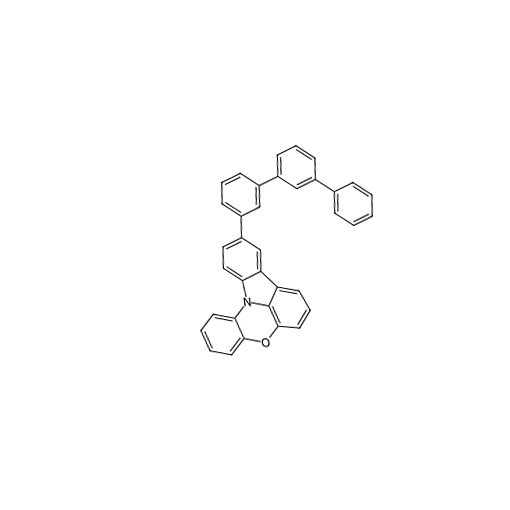 c1ccc(-c2cccc(-c3cccc(-c4ccc5c(c4)c4cccc6c4n5-c4ccccc4O6)c3)c2)cc1